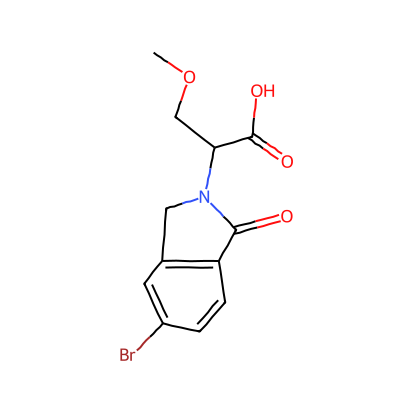 COCC(C(=O)O)N1Cc2cc(Br)ccc2C1=O